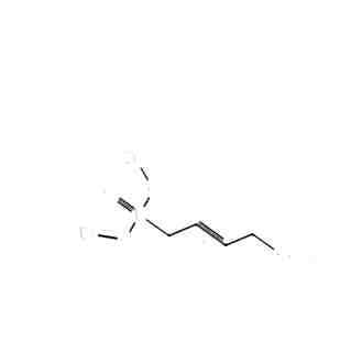 CCOC(=O)C/C=C/CP(=O)(OCC)OCC